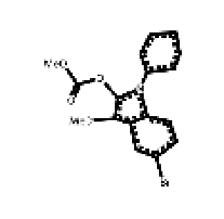 COC(=O)Oc1c(OC)c2cc(Br)ccc2n1-c1ccccc1